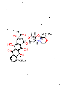 COc1cccc2c1C(=O)c1c(O)c3c(c(O)c1C2=O)C[C@@](O)(C(=O)C(C)C)C[C@@H]3O[C@H]1C[C@H]2[C@H](O[C@@H]3[C@@H](OC)OCCN32)[C@H](C)O1